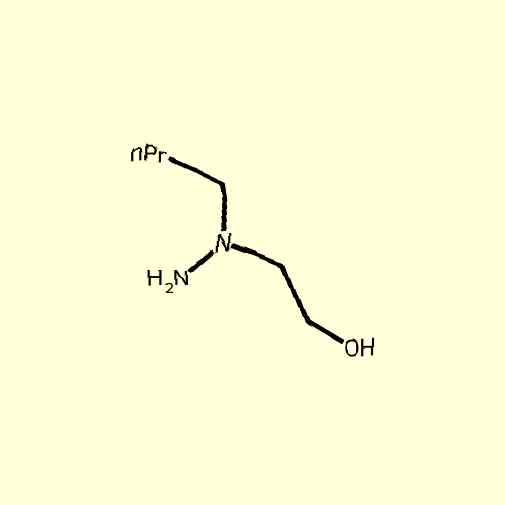 CCCCN(N)CCO